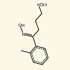 CCCCCCCCCCCC(=NO)c1ccccc1C